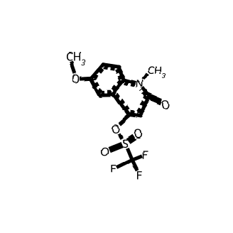 COc1ccc2c(c1)c(OS(=O)(=O)C(F)(F)F)cc(=O)n2C